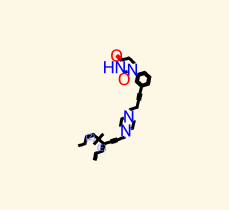 C=C/C=C(/C#CCN1CCN(CCC#Cc2cccc(N3CCC(=O)NC3=O)c2)CC1)C(C)(C)/C=C\CC